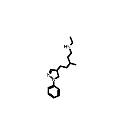 CCNCCC(C)CCC1C=NN(c2ccccc2)C1